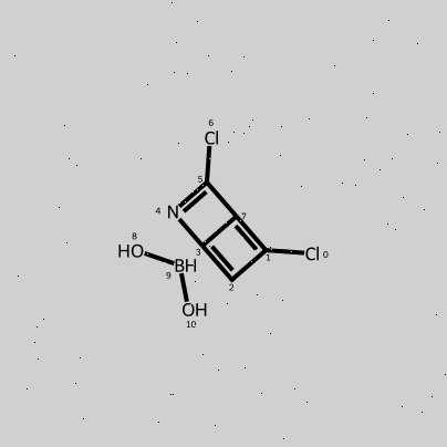 Clc1cc2nc(Cl)c1-2.OBO